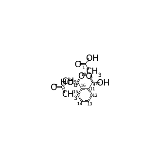 CC(=O)O.CC(C)=O.O=C(O)c1ccccc1C(=O)O